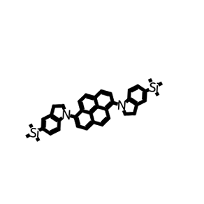 C[Si](C)(C)c1ccc2c(c1)CCN2c1ccc2ccc3c(N4CCc5cc([Si](C)(C)C)ccc54)ccc4ccc1c2c43